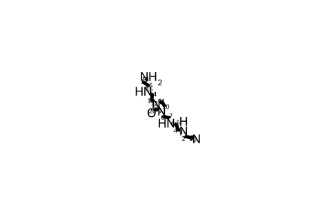 N#CCNCCNCCN1CCN(CCNCCN)C1=O